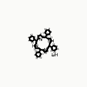 C1=Cc2nc1c(-c1ccccc1)c1ccc([nH]1)c(-c1ccccc1)c1nc(c(-c3ccccc3)c3ccc([nH]3)c2-c2ccccc2)C=C1.[LiH]